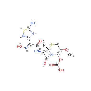 COC1=C(OC(=O)O)N2C(=O)[C@@H](NC(=O)C(=NO)c3nsc(N)n3)[C@@H]2SC1